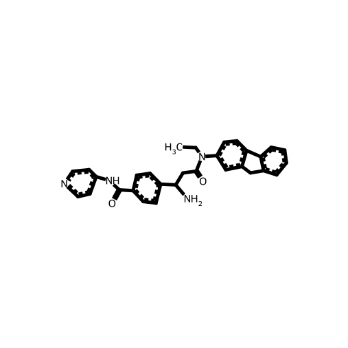 CCN(C(=O)CC(N)c1ccc(C(=O)Nc2ccncc2)cc1)c1ccc2c(c1)Cc1ccccc1-2